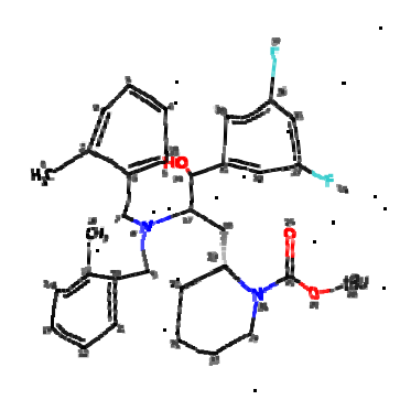 Cc1ccccc1CN(Cc1ccccc1C)C(C[C@H]1CCCCN1C(=O)OC(C)(C)C)C(O)c1cc(F)cc(F)c1